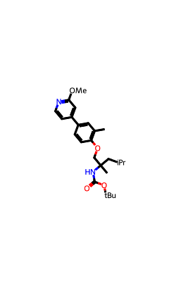 COc1cc(-c2ccc(OCC(C)(CC(C)C)NC(=O)OC(C)(C)C)c(C)c2)ccn1